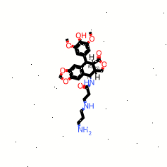 COc1cc(C2c3cc4c(cc3[C@@H](NC(=O)CCNCCCN)[C@H]3COC(=O)[C@H]23)OCO4)cc(OC)c1O